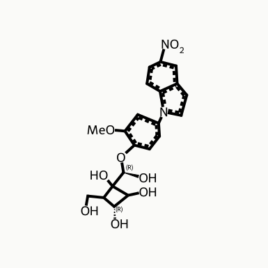 COc1cc(-n2ccc3cc([N+](=O)[O-])ccc32)ccc1O[C@@H](O)C1(O)C(O)[C@H](O)C1CO